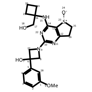 COc1cccc(C2(O)CN(c3nc4c(c(NC5(CO)CCC5)n3)[S@+]([O-])CC4)C2)c1